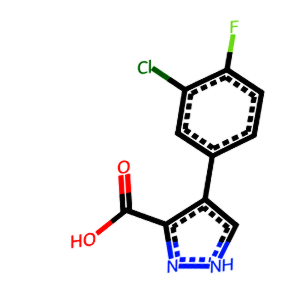 O=C(O)c1n[nH]cc1-c1ccc(F)c(Cl)c1